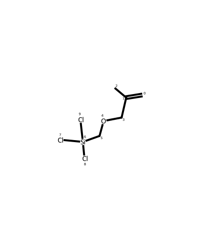 C=C(C)COC[Si](Cl)(Cl)Cl